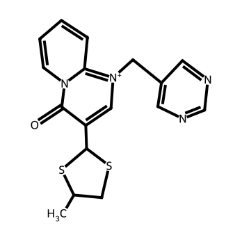 CC1CSC(c2c[n+](Cc3cncnc3)c3ccccn3c2=O)S1